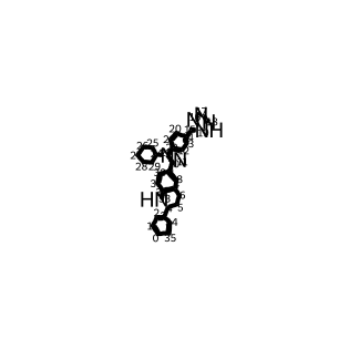 c1ccc(C2CCc3cc(-c4nc5cc(-c6nnn[nH]6)ccc5n4C4CCCCC4)ccc3N2)cc1